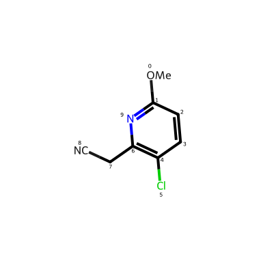 COc1ccc(Cl)c(CC#N)n1